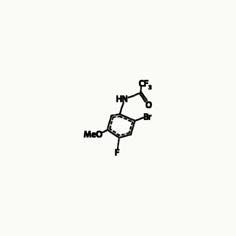 COc1cc(NC(=O)C(F)(F)F)c(Br)cc1F